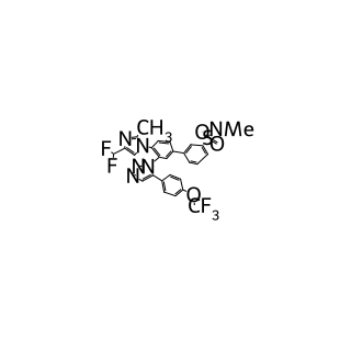 CNS(=O)(=O)c1cccc(-c2ccc(-n3cc(C(F)F)nc3C)c(-n3nncc3-c3ccc(OC(F)(F)F)cc3)c2)c1